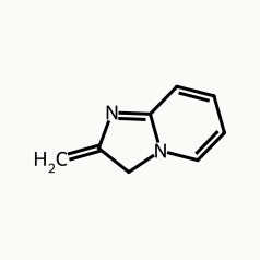 C=C1CN2C=CC=CC2=N1